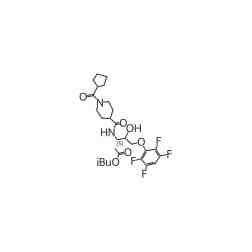 CC(C)COC(=O)C[C@H](NC(=O)C1CCN(C(=O)C2CCCC2)CC1)C(O)COc1c(F)c(F)cc(F)c1F